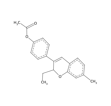 CCC1Oc2cc(C)ccc2C=C1c1ccc(OC(C)=O)cc1